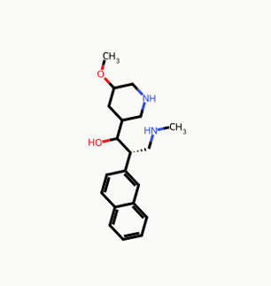 CNC[C@H](c1ccc2ccccc2c1)C(O)C1CNCC(OC)C1